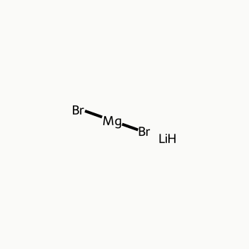 [Br][Mg][Br].[LiH]